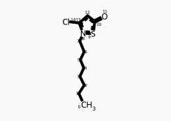 CCCCCCCCn1sc(=O)cc1Cl